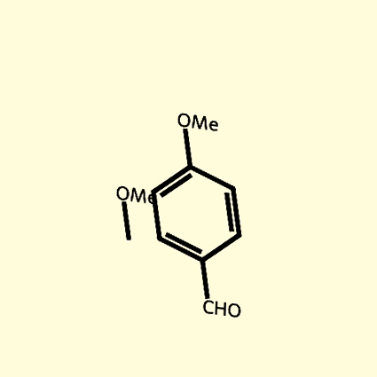 COC.COc1ccc(C=O)cc1